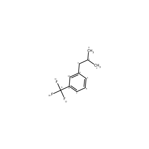 CC(C)Cc1cccc(C(F)(F)F)c1